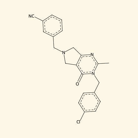 Cc1nc2c(c(=O)n1Cc1ccc(Cl)cc1)CN(Cc1cccc(C#N)c1)C2